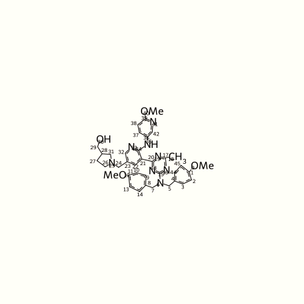 COc1ccc(CN(Cc2ccc(OC)cc2)c2nc(C)nc(-c3cc(CN4CCC(CO)C4)cnc3Nc3ccc(OC)nc3)n2)cc1